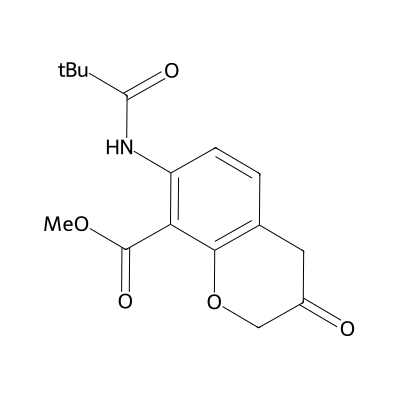 COC(=O)c1c(NC(=O)C(C)(C)C)ccc2c1OCC(=O)C2